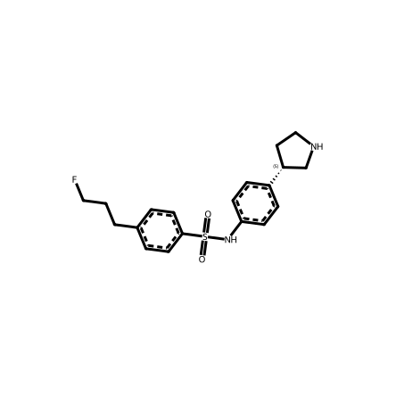 O=S(=O)(Nc1ccc([C@@H]2CCNC2)cc1)c1ccc(CCCF)cc1